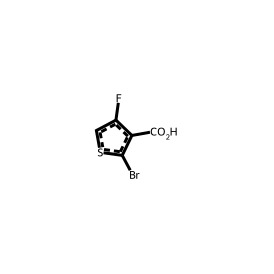 O=C(O)c1c(F)csc1Br